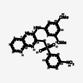 COc1cc(Nc2nc3cccnc3nc2CS(=O)(=O)c2cccc([N+](=O)[O-])c2)cc(OC)c1